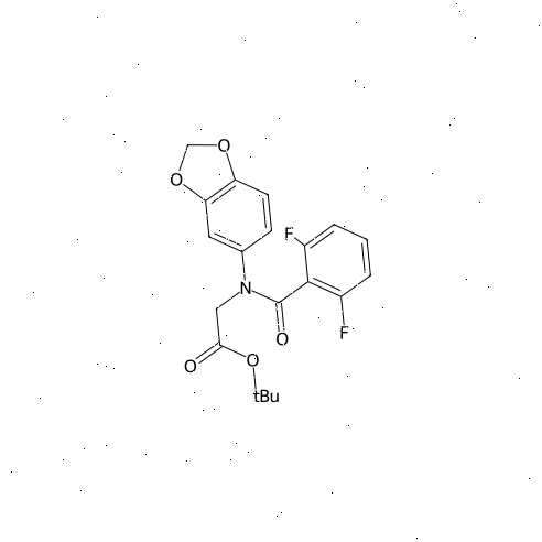 CC(C)(C)OC(=O)CN(C(=O)c1c(F)cccc1F)c1ccc2c(c1)OCO2